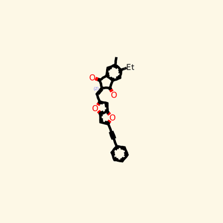 CCc1cc2c(cc1C)C(=O)/C(=C/c1cc3oc(C#Cc4ccccc4)cc3o1)C2=O